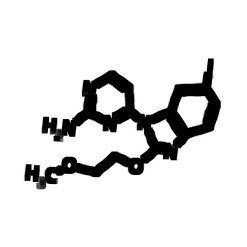 COCCOc1nc2ccc(I)cc2n1-c1ccnc(N)n1